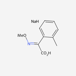 CO/N=C(/C(=O)O)c1ccccc1C.[NaH]